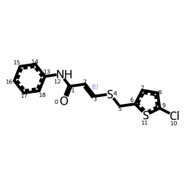 O=C(/C=C/SCc1ccc(Cl)s1)Nc1ccccc1